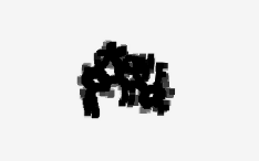 CC1(C)Oc2ccc(C#N)cc2[C@H](NC(=O)c2ccc(F)cc2F)[C@H]1O